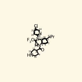 CC(C)c1ccc(NC(=O)C2CCNCC2)c(N(C(=O)C(F)(F)F)c2ccc(Cl)cn2)c1